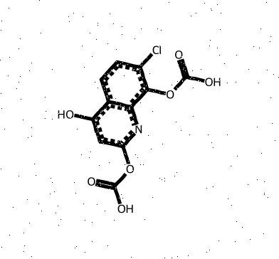 O=C(O)Oc1cc(O)c2ccc(Cl)c(OC(=O)O)c2n1